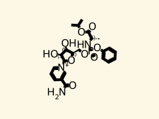 CC(C)OC(=O)[C@H](C)NP(=O)(OC[C@H]1O[C@@H]([n+]2cccc(C(N)=O)c2)[C@@H](O)[C@H]1O)Oc1ccccc1